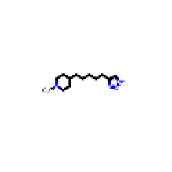 O=C(O)N1CCC(CCCCCc2c[nH]nn2)CC1